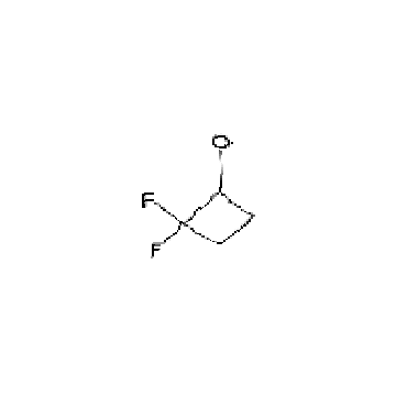 [O]C1CCC1(F)F